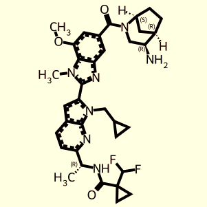 COc1cc(C(=O)N2C[C@H](N)[C@@H]3CC[C@H]2C3)cc2nc(-c3cc4ccc([C@@H](C)NC(=O)C5(C(F)F)CC5)nc4n3CC3CC3)n(C)c12